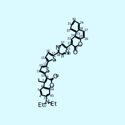 CCN(CC)c1ccc2c(C)c(-c3ccc(-c4ccc(-c5cnc(-c6cc7c(ccc8ccccc87)oc6=O)cn5)s4)s3)c(=O)oc2c1